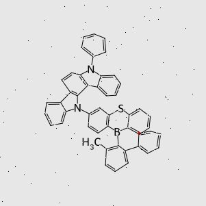 Cc1cccc(-c2ccccc2)c1B1c2ccccc2Sc2cc(-n3c4ccccc4c4ccc5c(c6ccccc6n5-c5ccccc5)c43)ccc21